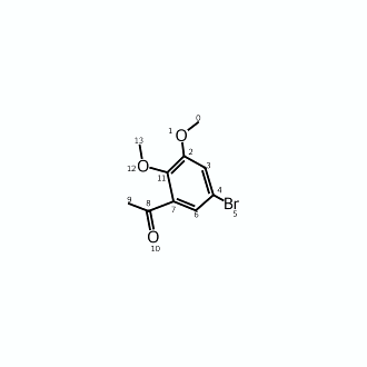 COc1cc(Br)cc(C(C)=O)c1OC